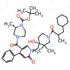 CC(CC1CCCCC1)C(=O)N1CC[C@@](O)(Cn2cc(C(=O)N3CCN(C(=O)OC(C)(C)C)[C@H](C)C3)c(-c3ccccc3)cc2=O)C(C)(C)C1